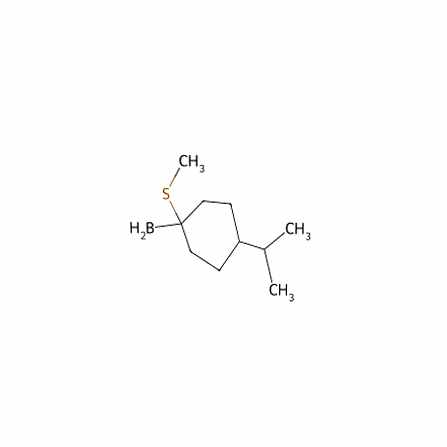 BC1(SC)CCC(C(C)C)CC1